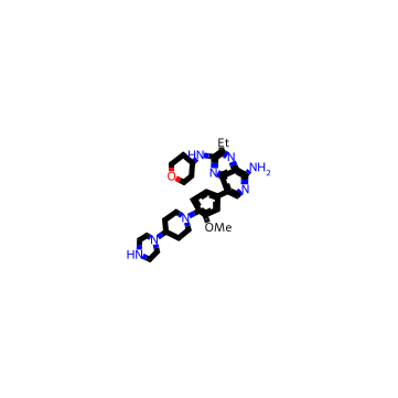 CCc1nc2c(N)ncc(-c3ccc(N4CCC(N5CCNCC5)CC4)c(OC)c3)c2nc1NC1CCOCC1